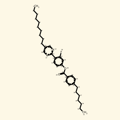 CCCCCCCCCCc1cnc(-c2ccc(OC(=O)c3ccc(CCCCCCC)cc3)cc2F)nc1